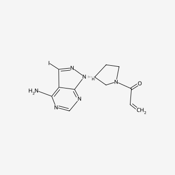 C=CC(=O)N1CC[C@@H](n2nc(I)c3c(N)ncnc32)C1